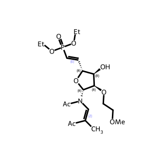 CCOP(=O)(/C=C/[C@H]1O[C@@H](N(/C=C(/C)C(C)=O)C(C)=O)[C@H](OCCOC)[C@@H]1O)OCC